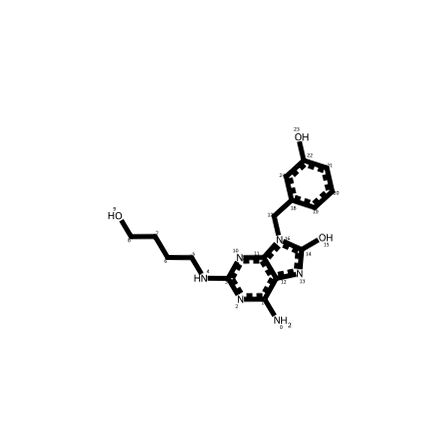 Nc1nc(NCCCCO)nc2c1nc(O)n2Cc1cccc(O)c1